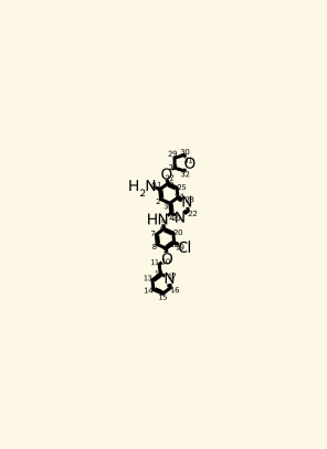 Nc1cc2c(Nc3ccc(OCc4ccccn4)c(Cl)c3)ncnc2cc1O[C@H]1CCOC1